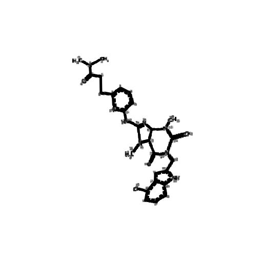 CN(C)C(=O)CCc1cccc(NC2=NC3C(C(=O)N(Cc4cc5c(Cl)cccc5[nH]4)C(=O)N3C)N2C)n1